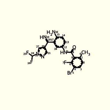 Cc1ccc(Br)c(F)c1C(=O)Nc1ccc(N)c(C(=N)c2cnn(C(F)F)c2)c1